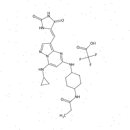 CCC(=O)NC1CCC(Nc2cc(NC3CC3)n3ncc(C=C4NC(=O)NC4=O)c3n2)CC1.O=C(O)C(F)(F)F